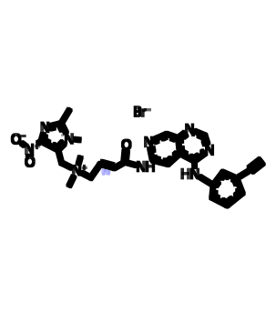 C#Cc1cccc(Nc2ncnc3cnc(NC(=O)/C=C/C[N+](C)(C)Cc4c([N+](=O)[O-])nc(C)n4C)cc23)c1.[Br-]